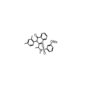 COc1cccc(S(=O)(=O)N(C)C(C)c2nc3ccccc3c(=O)n2-c2ccc(C)cc2C)c1